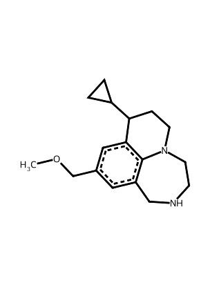 COCc1cc2c3c(c1)C(C1CC1)CCN3CCNC2